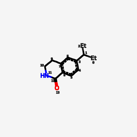 CCC(CC)c1ccc2c(c1)CCNC2=O